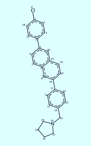 Clc1ccc(-c2ccc3nc(-c4ccc(CN5CCCC5)cc4)ccc3c2)cc1